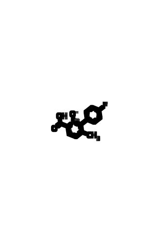 Cc1ccc(C(=O)O)[n+]([O-])c1-c1ccc(F)cc1